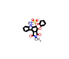 CN1C(=O)c2c(Oc3ccccc3OS(=O)(=O)C(F)(F)F)cc3[nH]c4ccccc4c3c2C1=O